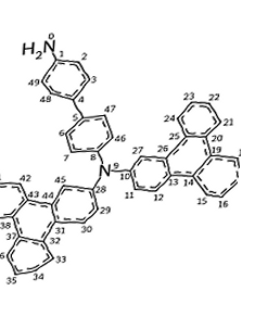 Nc1ccc(-c2ccc(N(c3ccc4c5ccccc5c5ccccc5c4c3)c3ccc4c5ccccc5c5ccccc5c4c3)cc2)cc1